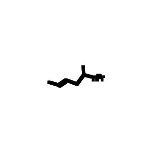 [CH2]CCC(C)CC=CC